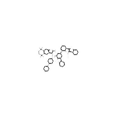 CC1(C)CCC(C)(C)c2cc3c4c(sc3cc21)Bc1c(-c2cccc3c2[nH]c2c5ccccc5sc32)cc2c(oc3ccccc32)c1N4c1ccc(-c2ccccc2)cc1